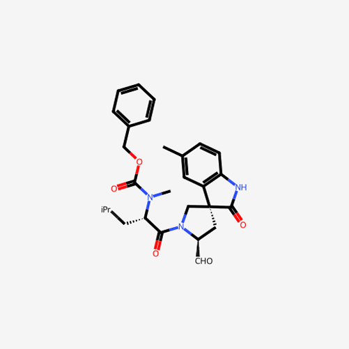 Cc1ccc2c(c1)[C@@]1(C[C@@H](C=O)N(C(=O)[C@H](CC(C)C)N(C)C(=O)OCc3ccccc3)C1)C(=O)N2